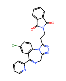 O=C1c2ccccc2C(=O)N1CCc1nnc2n1-c1ccc(Cl)cc1C(c1ccccn1)=NC2